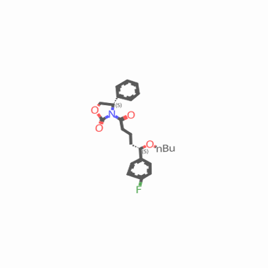 CCCCO[C@@H](CCCC(=O)N1C(=O)OC[C@@H]1c1ccccc1)c1ccc(F)cc1